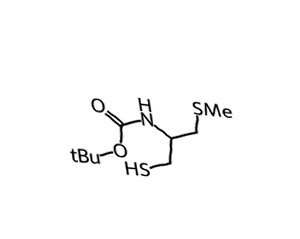 CSCC(CS)NC(=O)OC(C)(C)C